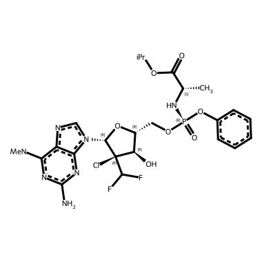 CNc1nc(N)nc2c1ncn2[C@@H]1O[C@H](CO[P@](=O)(N[C@@H](C)C(=O)OC(C)C)Oc2ccccc2)[C@@H](O)[C@]1(Cl)C(F)F